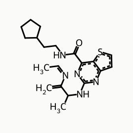 C=C(/N=C\C)C(C)Nc1nc(C(=O)NCCC2CCCC2)c2sccc2n1